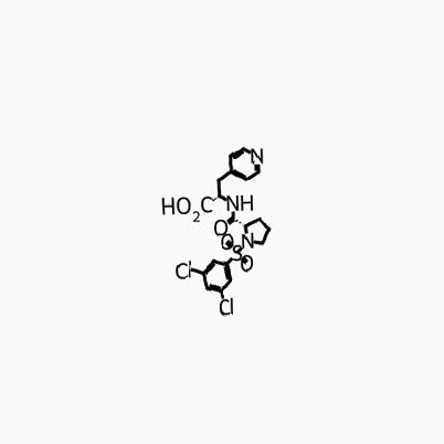 O=C(O)[C@H](Cc1ccncc1)NC(=O)[C@@H]1CCCN1S(=O)(=O)c1cc(Cl)cc(Cl)c1